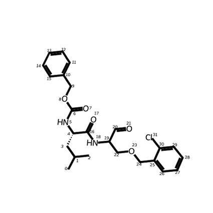 CC(C)C[C@H](NC(=O)OCc1ccccc1)C(=O)NC(C=O)COCc1ccccc1Cl